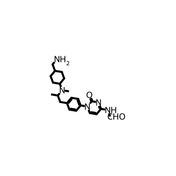 CC(Cc1ccc(-n2ccc(NC=O)nc2=O)cc1)N(C)C1CCC(CN)CC1